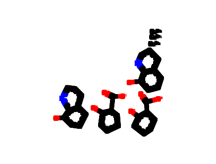 O=C([O-])c1ccccc1[O-].O=C([O-])c1ccccc1[O-].[Cu+2].[Cu+2].[Cu+2].[O-]c1cccc2cccnc12.[O-]c1cccc2cccnc12